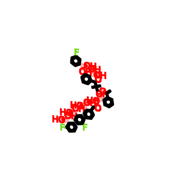 CC(=O)c1ccccc1B(O)O.CC(C)(C)C(=O)c1ccccc1B(O)O.O=Cc1ccccc1B(O)O.OB(O)c1ccc(F)cc1.OB(O)c1cccc(F)c1.OB(O)c1ccccc1F